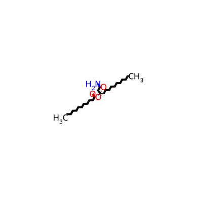 CCCCCCCCCCCC(=O)O[C@H](CCCCCCCCCCC)CC(N)=O